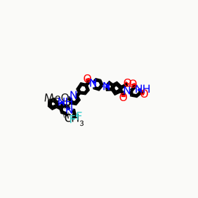 COc1nc(C2CCC(C(=O)N3CCC(N4Cc5cc6c(cc5C4)C(=O)N(C4CCC(=O)NC4=O)C6=O)CC3)CC2)ccc1[C@@H]1c2[nH]c3ccccc3c2C[C@@H](C)N1CC(F)F